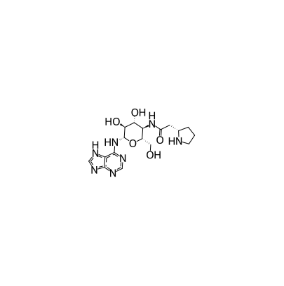 O=C(C[C@@H]1CCCN1)N[C@@H]1[C@@H](O)[C@H](O)[C@@H](Nc2ncnc3nc[nH]c23)O[C@H]1CO